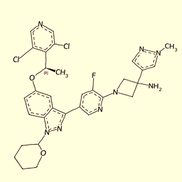 C[C@@H](Oc1ccc2c(c1)c(-c1cnc(N3CC(N)(c4cnn(C)c4)C3)c(F)c1)nn2C1CCCCO1)c1c(Cl)cncc1Cl